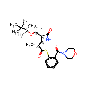 C[C@@H](O[Si](C)(C)C(C)(C)C)[C@H]1C(=O)N[C@@H]1[C@@H](C)C(=O)Sc1ccccc1C(=O)N1CCOCC1